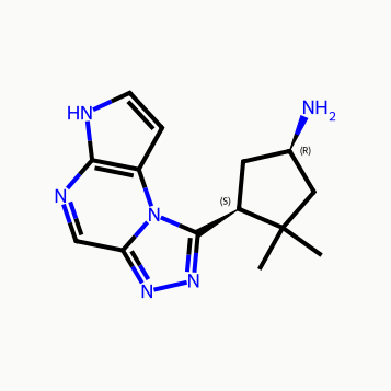 CC1(C)C[C@H](N)C[C@@H]1c1nnc2cnc3[nH]ccc3n12